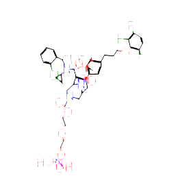 CC(C)(OC(=O)N1C2CC(c3ccc(CCCOc4c(F)ccc(F)c4F)cc3)=C(C(=O)N(Cc3ccccc3Cl)C3CC3)C1CN(C(=O)OCCOCCON(O)O)C2)C(Cl)(Cl)Cl